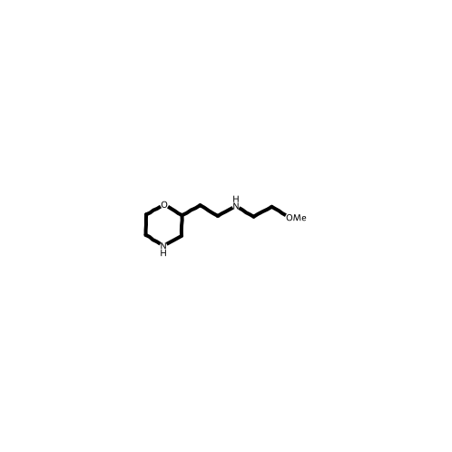 COCCNCCC1CNCCO1